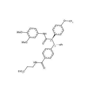 CCC[C@H](c1ccc(C(=O)NCCC(=O)OCC)cc1)[C@@H](C(=O)Nc1ccc(OC)c(OC)c1)c1ccc(OC(F)(F)F)cc1